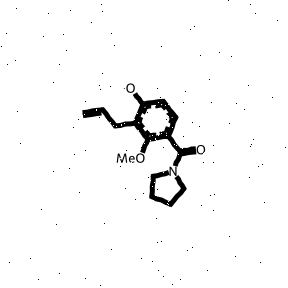 C=CCc1c([O])ccc(C(=O)N2CCCC2)c1OC